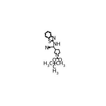 CC(C)(C)OC(=O)N1CCC(C(C#N)Nc2nc3ccccc3s2)C1